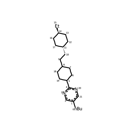 CCCCc1cnc(C2CCC(CC[C@H]3CC[C@H](CC)CC3)CC2)nc1